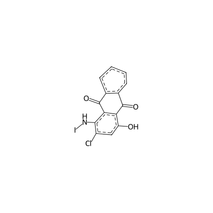 O=C1c2ccccc2C(=O)c2c(NI)c(Cl)cc(O)c21